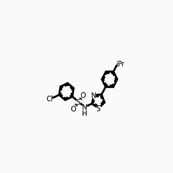 CC(C)c1ccc(-c2csc(NS(=O)(=O)c3cccc(Cl)c3)n2)cc1